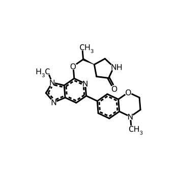 CC(Oc1nc(-c2ccc3c(c2)OCCN3C)cc2ncn(C)c12)[C@H]1CNC(=O)C1